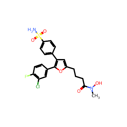 CN(O)C(=O)CCCc1cc(-c2ccc(S(N)(=O)=O)cc2)c(-c2ccc(F)c(Cl)c2)o1